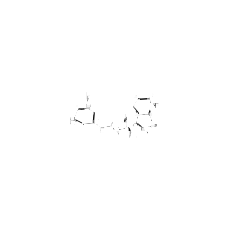 O=S(=O)(NCCc1cc(F)cc(F)c1)c1n[nH]c2ncccc12